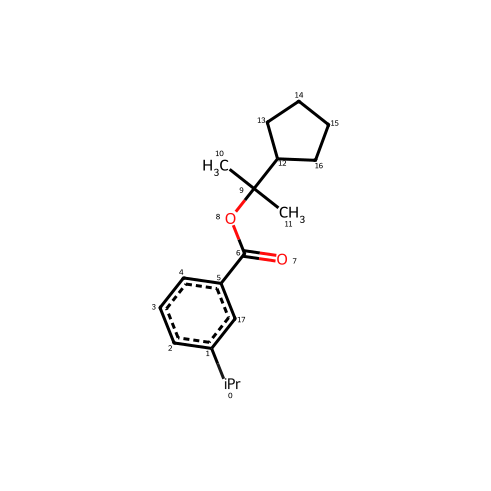 CC(C)c1cccc(C(=O)OC(C)(C)C2CCCC2)c1